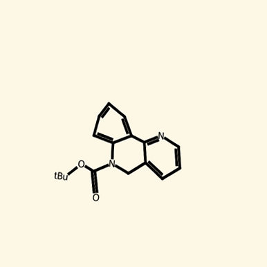 CC(C)(C)OC(=O)N1Cc2cccnc2-c2ccccc21